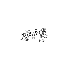 CC(C)C[C@H](NC(=O)[C@H](C)OC(=O)C[C@H](O)C(=O)OC1=CC[C@@]2(O)[C@H]3Cc4ccc(CO)c5c4[C@@]2(CCN3C)[C@H]1O5)C(=O)O